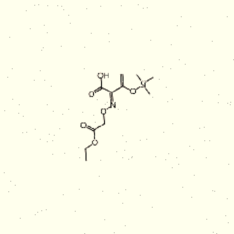 C=C(O[Si](C)(C)C)/C(=N/OCC(=O)OCC)C(=O)O